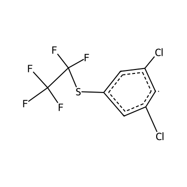 FC(F)(F)C(F)(F)Sc1cc(Cl)[c]c(Cl)c1